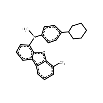 CN(c1ccc(C2CCCCC2)cc1)c1cccc2c1oc1c(C(F)(F)F)cccc12